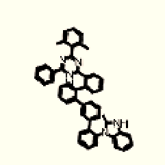 Cc1cccc(C)c1C1=NC(c2ccccc2-c2ccccc2-c2cccc(-c3ccccc3N3c4ccccc4NC3C)c2)NC(c2ccccc2)=N1